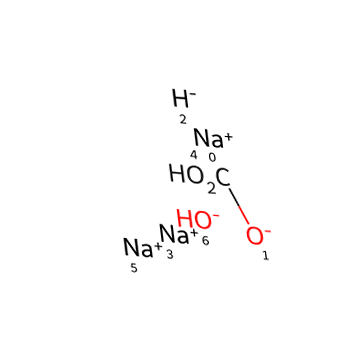 O=C([O-])O.[H-].[Na+].[Na+].[Na+].[OH-]